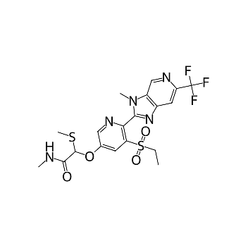 CCS(=O)(=O)c1cc(OC(SC)C(=O)NC)cnc1-c1nc2cc(C(F)(F)F)ncc2n1C